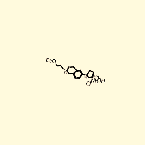 CCOCCC[C@@H]1CCc2cc([C@H]3CC[C@@](CO)(NCl)C3)ccc2C1